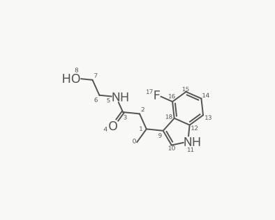 CC(CC(=O)NCCO)c1c[nH]c2cccc(F)c12